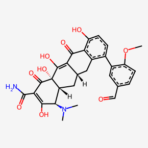 COc1ccc(C=O)cc1-c1ccc(O)c2c1C[C@@H]1C[C@@H]3[C@@H](N(C)C)C(O)=C(C(N)=O)C(=O)[C@@]3(O)C(O)=C1C2=O